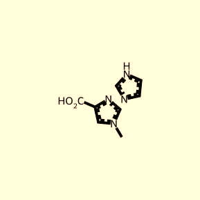 Cn1cnc(C(=O)O)c1.c1c[nH]cn1